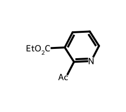 CCOC(=O)c1cccnc1C(C)=O